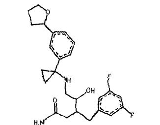 NC(=O)CC(Cc1cc(F)cc(F)c1)C(O)CNC1(c2cccc(C3CCCO3)c2)CC1